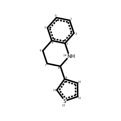 c1ccc2c(c1)CCC(c1ccsc1)N2